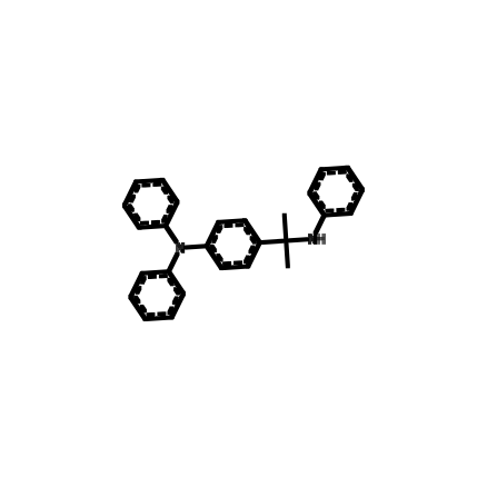 CC(C)(Nc1ccccc1)c1ccc(N(c2ccccc2)c2ccccc2)cc1